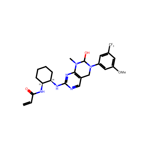 C=CC(=O)N[C@H]1CCCC[C@H]1Nc1ncc2c(n1)N(C)C(O)N(c1cc(OC)cc(C(F)(F)F)c1)C2